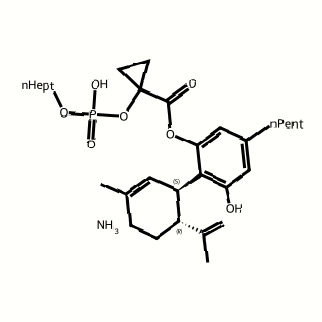 C=C(C)[C@@H]1CCC(C)=C[C@H]1c1c(O)cc(CCCCC)cc1OC(=O)C1(OP(=O)(O)OCCCCCCC)CC1.N